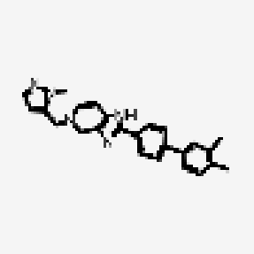 Cc1ccc(-c2ccc(-c3nc4c([nH]3)C=CN(Cc3ccnn3C)C4)cc2)cc1C